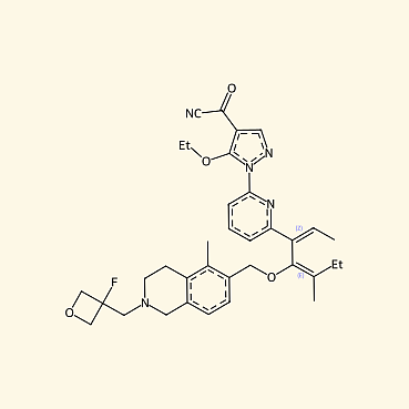 C/C=C(\C(OCc1ccc2c(c1C)CCN(CC1(F)COC1)C2)=C(\C)CC)c1cccc(-n2ncc(C(=O)C#N)c2OCC)n1